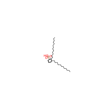 CCCCCCCCCCCCCc1c(CCCCCCCCCCCC)cccc1S(=O)(=O)O